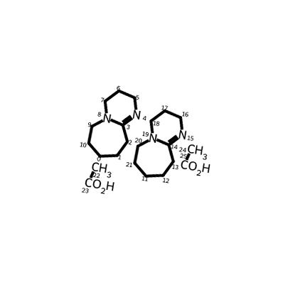 C1CCC2=NCCCN2CC1.C1CCC2=NCCCN2CC1.CC(=O)O.CC(=O)O